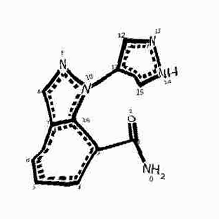 NC(=O)c1cccc2cnn(-c3cn[nH]c3)c12